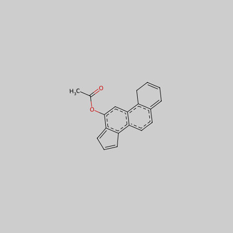 CC(=O)Oc1cc2c3c(ccc2c2c1=CC=C2)=CC=CC3